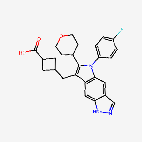 O=C(O)C1CC(Cc2c(C3CCOCC3)n(-c3ccc(F)cc3)c3cc4cn[nH]c4cc23)C1